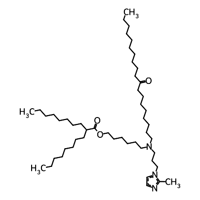 CCCCCCCCCCC(=O)CCCCCCCCN(CCCCCCOC(=O)C(CCCCCCCC)CCCCCCCC)CCCn1ccnc1C